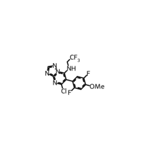 COc1cc(F)c(-c2c(Cl)nc3ncnn3c2NCC(F)(F)F)cc1F